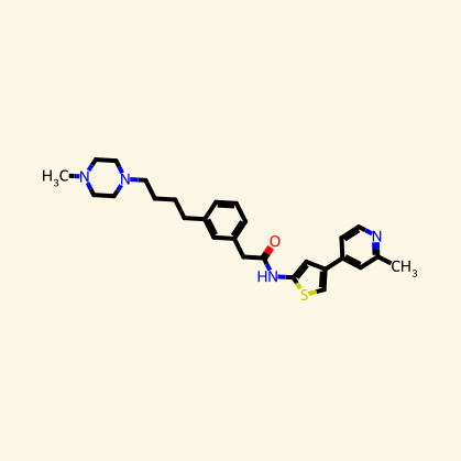 Cc1cc(-c2csc(NC(=O)Cc3cccc(CCCCN4CCN(C)CC4)c3)c2)ccn1